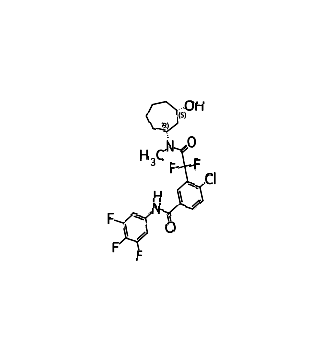 CN(C(=O)C(F)(F)c1cc(C(=O)Nc2cc(F)c(F)c(F)c2)ccc1Cl)[C@@H]1CCCC[C@H](O)C1